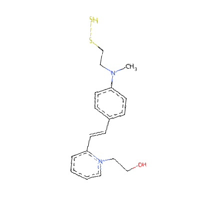 CN(CCSS)c1ccc(/C=C/c2cccc[n+]2CCO)cc1